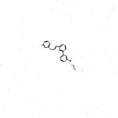 N#CCCNC(=O)c1cccc(-c2cccc3cc(Cc4cccc(C(F)(F)F)c4)oc23)c1